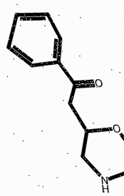 O=C(CC1CNCCO1)c1ccccc1